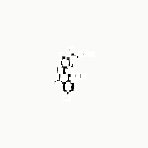 CC(=O)OCC(=O)[C@H]1[C@H](C)C[C@H]2[C@@H]3C=C(C)C4=CC(=O)C=C[C@]4(C)[C@H]3[C@H](O)C[C@@]21C